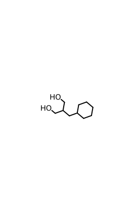 OCC(CO)CC1CCCCC1